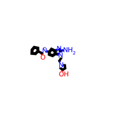 CN(C(=O)c1ccccc1)c1ccc2c(c1)nc(N)n2CCN1CCC(O)C1